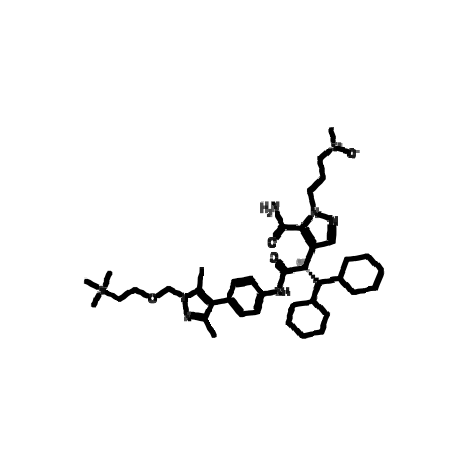 Cc1nn(COCC[Si](C)(C)C)c(C)c1-c1ccc(NC(=O)[C@H](c2cnn(CCC[S+](C)[O-])c2C(N)=O)C(C2CCCCC2)C2CCCCC2)cc1